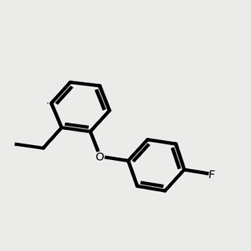 CCc1[c]cccc1Oc1ccc(F)cc1